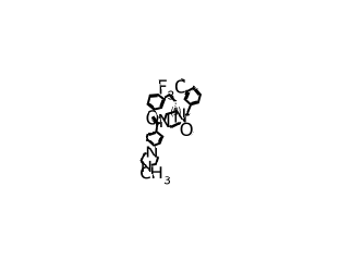 CN1CCN(c2ccc(C(=O)N3CC(=O)N(Cc4cccc(C(F)(F)F)c4)[C@@H](CCc4ccccc4)C3)cc2)CC1